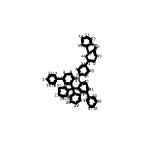 C1=C(c2ccc(N3c4ccc(-c5ccccc5)cc4C(c4ccccc4)(c4ccccc4)c4cc(-c5ccccc5)ccc43)cc2)CC2C(=C1)Sc1ccccc12